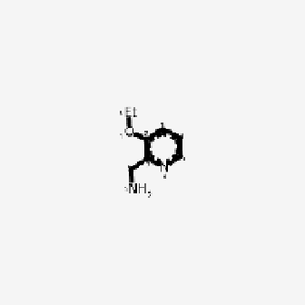 CCOc1cccnc1CN